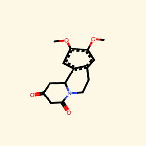 COc1cc2c(cc1OC)C1CC(=O)CC(=O)N1CC2